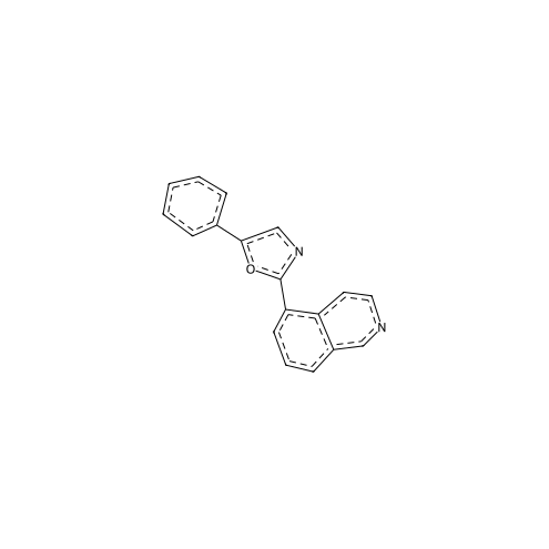 c1ccc(-c2cnc(-c3cccc4cnccc34)o2)cc1